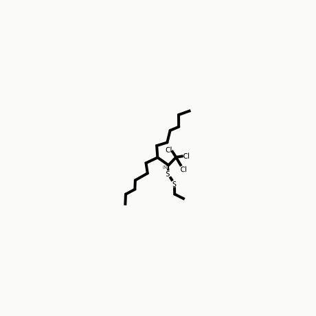 CCCCCCC(CCCCCC)[C@H](SSCC)C(Cl)(Cl)Cl